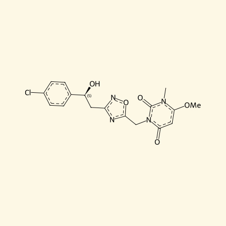 COc1cc(=O)n(Cc2nc(C[C@H](O)c3ccc(Cl)cc3)no2)c(=O)n1C